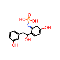 O=P(O)(O)N=C1CC(O)=CC=C1C(O)Cc1cccc(O)c1